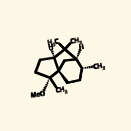 CO[C@]1(C)CC[C@H]2C(C)(C)[C@@H]3C[C@@]21CC[C@H]3C